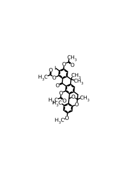 COc1cc(C)c2c(c1)OC1(C)Cc3cc4c(c(OC(C)=O)c3C2O1)C(=O)c1c(cc(OC(C)=O)c(I)c1OC(C)=O)C4(C)C